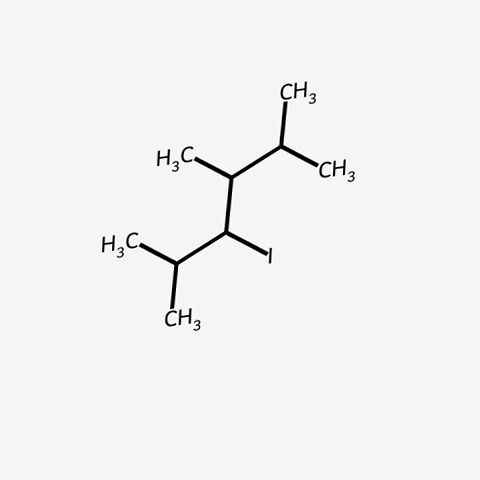 CC(C)C(C)C(I)C(C)C